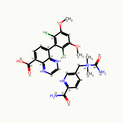 COc1cc(OC)c(Cl)c(-c2ccc(C(=O)O)c3nccnc23)c1F.C[N+](C)(Cc1ccc(C(N)=O)nc1)C(N)=O